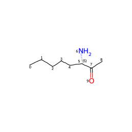 CCCCC[C@H](N)C(C)=O